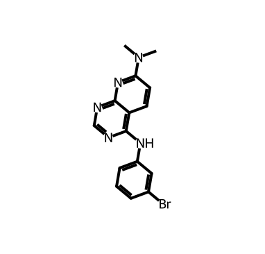 CN(C)c1ccc2c(Nc3cccc(Br)c3)ncnc2n1